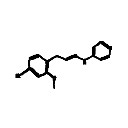 COc1cc(Br)ccc1CC=NNc1ccncc1